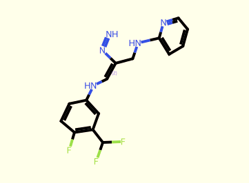 N=N/C(=C\Nc1ccc(F)c(C(F)F)c1)CNc1ccccn1